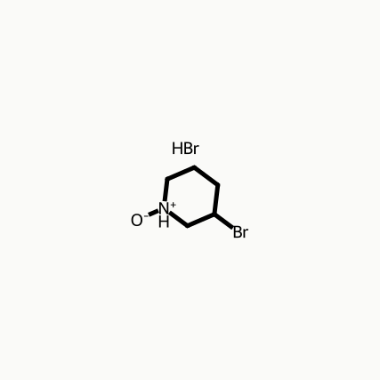 Br.[O-][NH+]1CCCC(Br)C1